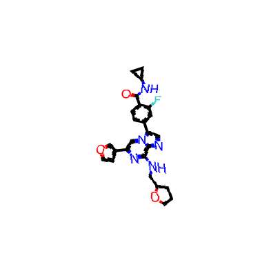 O=C(NC1CC1)c1ccc(-c2cnc3c(NCC4CCCO4)nc(-c4ccoc4)cn23)cc1F